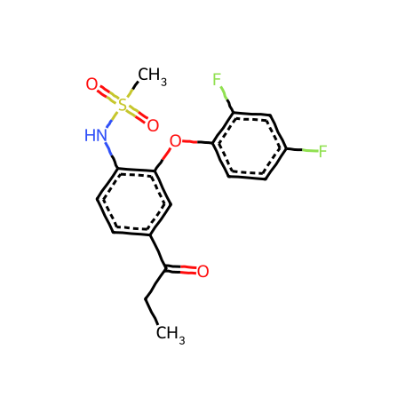 CCC(=O)c1ccc(NS(C)(=O)=O)c(Oc2ccc(F)cc2F)c1